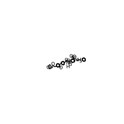 COc1cc(CC(=O)N2CCOCC2)ccc1-c1ccc(C(=O)NS(=O)(=O)c2ccc(NCCSc3ccccc3)c([N+](=O)[O-])c2)cc1